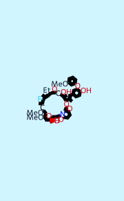 CCC1/C=C(\C)C(F)C(C)CC(OC)C2OC(O)(C(=O)C(=O)N3CCCCC3C(=O)OC(C(C)=CC3CCC(O)C(Oc4cccc(OC)c4)C3)C(C)C(O)CC1=O)C(C)CC2OC